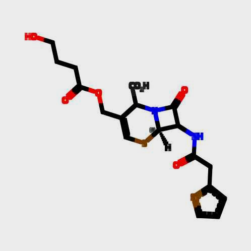 O=C(Cc1cccs1)NC1C(=O)N2C(C(=O)O)C(COC(=O)CCCO)=CS[C@H]12